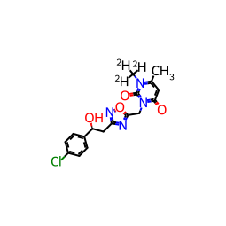 [2H]C([2H])([2H])n1c(C)cc(=O)n(Cc2nc(C[C@H](O)c3ccc(Cl)cc3)no2)c1=O